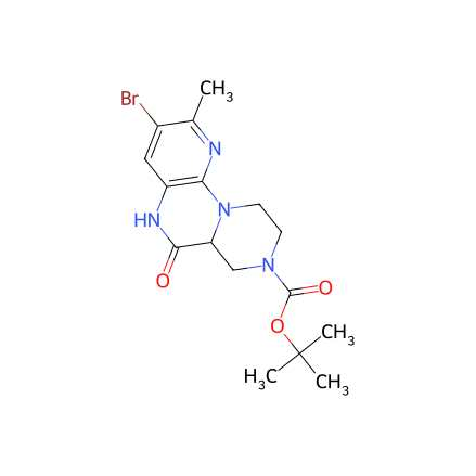 Cc1nc2c(cc1Br)NC(=O)C1CN(C(=O)OC(C)(C)C)CCN21